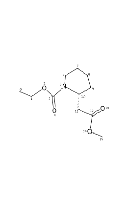 CCOC(=O)N1CCCC[C@@H]1CC(=O)OC